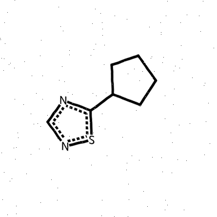 c1nsc(C2CCCC2)n1